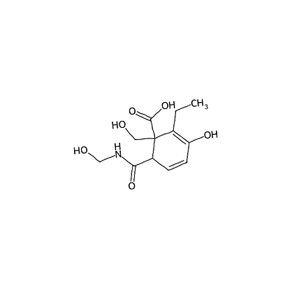 CCC1=C(O)C=CC(C(=O)NCO)C1(CO)C(=O)O